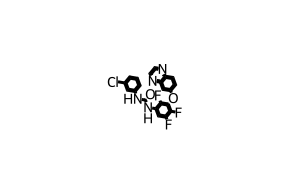 O=C(Nc1cccc(Cl)c1)Nc1cc(F)c(F)c(Oc2ccc3nccnc3c2)c1F